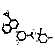 C[C@@H]1C[C@H](c2ccc(C3C=N3)c3ncccc23)CN(C(=O)C[C@H]2CCN(C)CC2(F)F)C1